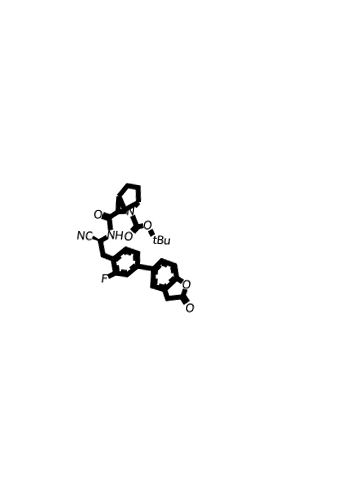 CC(C)(C)OC(=O)N1C2CCC(C2)C1C(=O)N[C@H](C#N)Cc1ccc(-c2ccc3c(c2)CC(=O)O3)cc1F